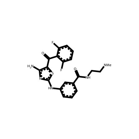 CNCCNC(=O)c1cccc(Nc2nc(N)c(C(=O)c3c(F)cccc3F)s2)c1